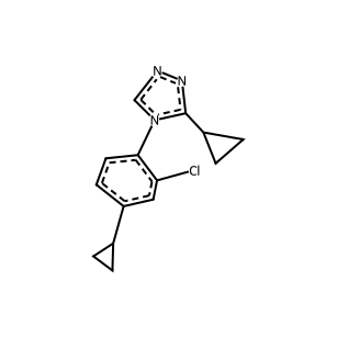 Clc1cc(C2CC2)ccc1-n1cnnc1C1CC1